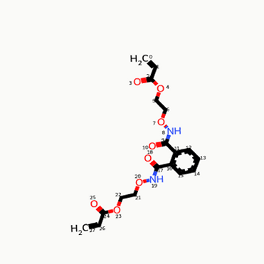 C=CC(=O)OCCONC(=O)c1ccccc1C(=O)NOCCOC(=O)C=C